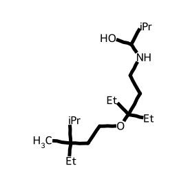 CCC(CC)(CCNC(O)C(C)C)OCCC(C)(CC)C(C)C